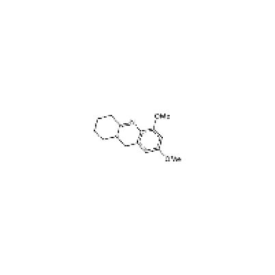 COc1cc2c(c(OC)c1)N=C1CCCCN1C2